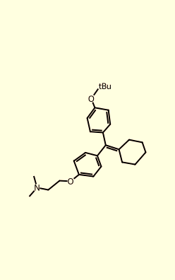 CN(C)CCOc1ccc(C(=C2CCCCC2)c2ccc(OC(C)(C)C)cc2)cc1